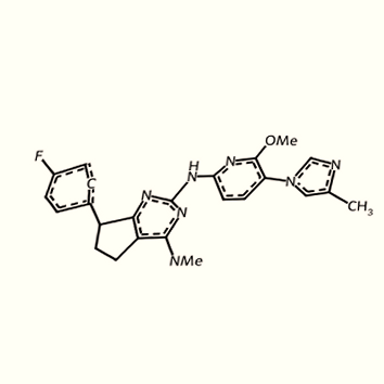 CNc1nc(Nc2ccc(-n3cnc(C)c3)c(OC)n2)nc2c1CCC2c1ccc(F)cc1